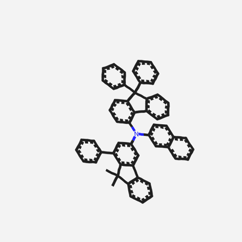 CC1(C)c2ccccc2-c2cc(N(c3ccc4ccccc4c3)c3cccc4c3-c3ccccc3C4(c3ccccc3)c3ccccc3)cc(-c3ccccc3)c21